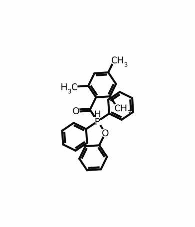 Cc1cc(C)c(C(=O)[PH](Oc2ccccc2)(c2ccccc2)c2ccccc2)c(C)c1